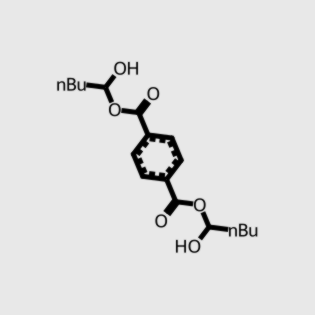 CCCCC(O)OC(=O)c1ccc(C(=O)OC(O)CCCC)cc1